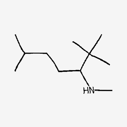 CNC(CCC(C)C)C(C)(C)C